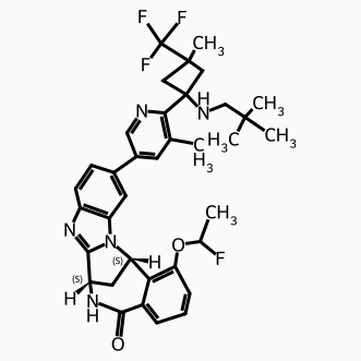 Cc1cc(-c2ccc3nc4n(c3c2)[C@H]2C[C@@H]4NC(=O)c3cccc(OC(C)F)c32)cnc1C1(NCC(C)(C)C)CC(C)(C(F)(F)F)C1